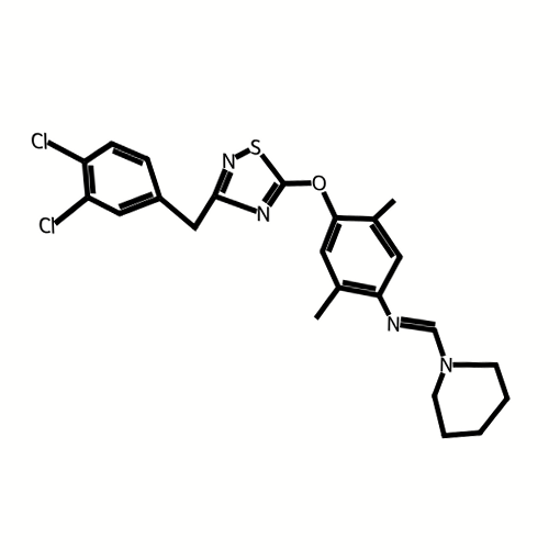 Cc1cc(Oc2nc(Cc3ccc(Cl)c(Cl)c3)ns2)c(C)cc1N=CN1CCCCC1